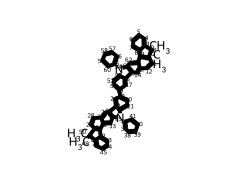 CC1(C)c2ccccc2-c2c1ccc1cc3c4cc(-c5ccc6c(c5)c5cc7ccc8c(c7cc5n6-c5ccccc5)-c5ccccc5C8(C)C)ccc4n(-c4ccccc4)c3cc21